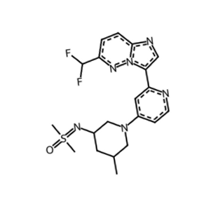 CC1CC(N=S(C)(C)=O)CN(c2ccnc(-c3cnc4ccc(C(F)F)nn34)c2)C1